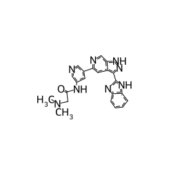 CN(C)CC(=O)Nc1cncc(-c2cc3c(-c4nc5ccccc5[nH]4)n[nH]c3cn2)c1